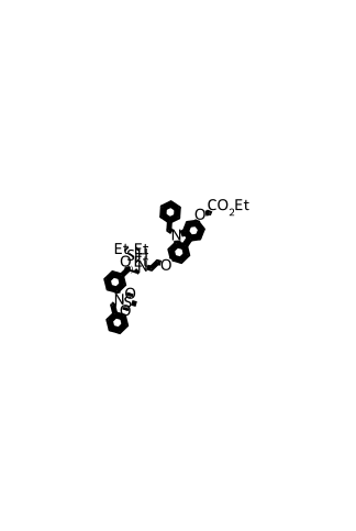 CCOC(=O)COc1ccc2c3ccc(OCCNC[C@H](O[Si](CC)(CC)CC)c4cccc(N(Cc5ccccc5)S(C)(=O)=O)c4)cc3n(Cc3ccccc3)c2c1